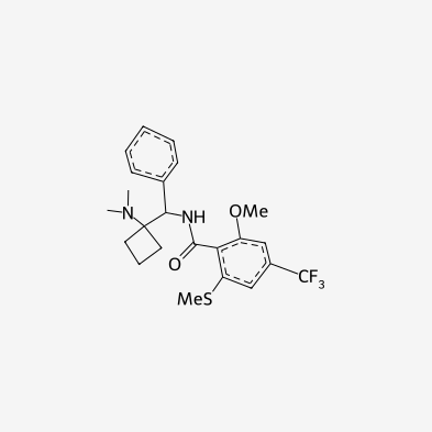 COc1cc(C(F)(F)F)cc(SC)c1C(=O)NC(c1ccccc1)C1(N(C)C)CCC1